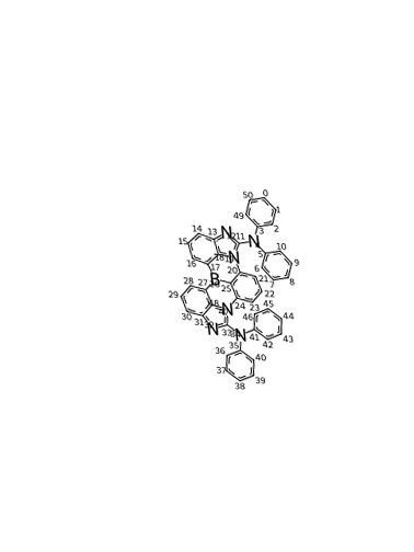 c1ccc(N(c2ccccc2)c2nc3cccc4c3n2-c2cccc3c2B4c2cccc4nc(N(c5ccccc5)c5ccccc5)n-3c24)cc1